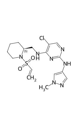 C=CS(=O)(=O)N1CCCC[C@H]1CNc1nc(Nc2cnn(C)c2)ncc1Cl